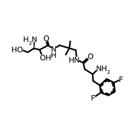 CC(C)(CNC(=O)CC(N)Cc1cc(F)ccc1F)CNC(=O)C(O)[C@H](N)CO